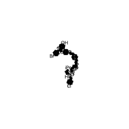 CC(C)C(C(=O)N1CCC[C@H]1C(=O)NCc1ccc(Cl)cc1)c1cc(OCCN2CCN(CCOc3ccc(Oc4c(-c5ccc(Br)cc5)sc5cc(O)ccc45)cc3)CC2)no1